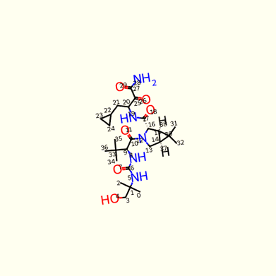 CC(C)(CO)NC(=O)N[C@H](C(=O)N1C[C@H]2[C@@H]([C@H]1C(=O)NC(CC1CC1)C(=O)C(N)=O)C2(C)C)C(C)(C)C